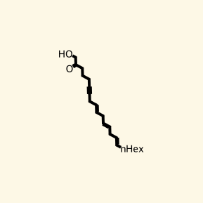 CCCCCCC=CCC=CCC=CCC#CCCCC(=O)CO